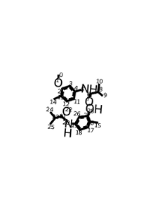 COc1cc(NC(=O)C(C)C)ccc1C.Cc1ccc(NC(=O)C(C)C)cc1O